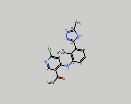 CNC(=O)c1cnc(Cl)cc1Nc1cccc(-c2nnc(C)[nH]2)c1OC